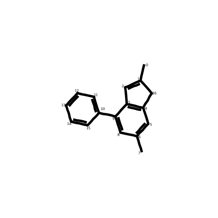 CC1=Cc2c(cc(C)cc2-c2ccccc2)C1